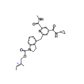 C/C=C(\C)COC(=O)N1CCc2c(Cc3cc(C(=O)NC4CC4)cc(C(=O)NC)n3)cccc21